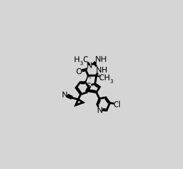 CN1C(=N)N[C@](C)(c2cc(-c3cncc(Cl)c3)cs2)[C@@H](c2ccc(C3(C#N)CC3)cc2)C1=O